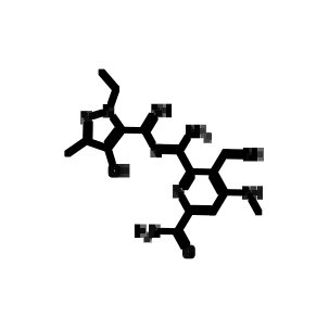 CCn1nc(C)c(O)c1C(=N)/N=C(\N)c1nc(C(N)=O)cc(NC)c1C=N